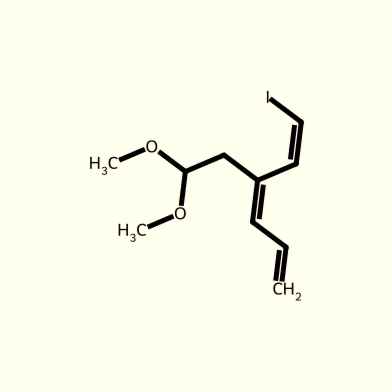 C=C/C=C(\C=C/I)CC(OC)OC